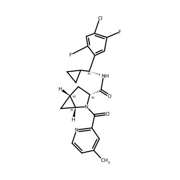 Cc1ccnc(C(=O)N2[C@@H](C(=O)N[C@@H](c3cc(F)c(Cl)cc3F)C3CC3)C[C@H]3C[C@H]32)c1